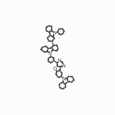 c1ccc(-n2c3ccccc3c3ccc(-c4cccc5c4c4ccccc4n5-c4cccc(-c5ncnc6c5oc5ccc(-n7c8ccccc8c8ccccc87)cc56)c4)cc32)cc1